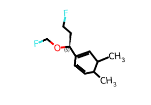 CC1C=CC([C@H](CCF)OCF)=CC1C